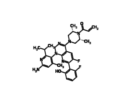 C=CC(=O)N1[C@H](C)CN(C2=NCN(c3c(C)cc(N)nc3C(C)C)c3nc(-c4c(O)cccc4F)c(F)cc32)C[C@@H]1C